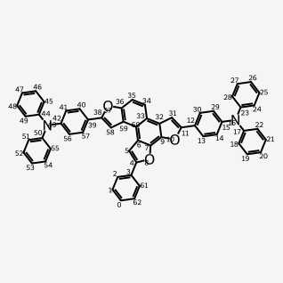 c1ccc(-c2cc3c(o2)c2oc(-c4ccc(N(c5ccccc5)c5ccccc5)cc4)cc2c2ccc4oc(-c5ccc(N(c6ccccc6)c6ccccc6)cc5)cc4c23)cc1